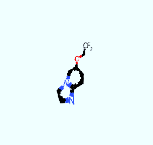 FC(F)(F)COc1ccc2nccn2c1